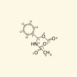 CS(=O)(=O)NC(O[C]=O)c1ccccc1